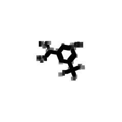 C[C@@H](N)c1cncc(C(F)(F)F)c1.Cl